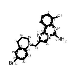 Nc1nc2c(F)cccc2c2nc(CN3CCCc4cc(Br)ccc43)cn12